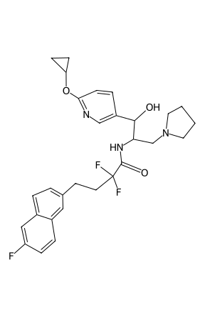 O=C(NC(CN1CCCC1)C(O)c1ccc(OC2CC2)nc1)C(F)(F)CCc1ccc2cc(F)ccc2c1